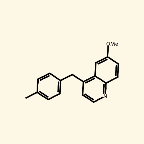 COc1ccc2nccc(Cc3ccc(C)cc3)c2c1